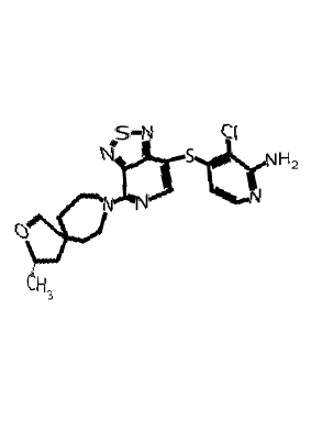 C[C@H]1CC2(CCN(c3ncc(Sc4ccnc(N)c4Cl)c4nsnc34)CC2)CO1